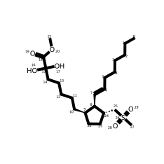 CCCCCCC=C[C@@H]1[C@H](CCCCCC(O)(O)C(=O)OC)CC[C@H]1CS(C)(=O)=O